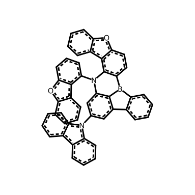 c1ccc2c(c1)B1c3ccc4oc5ccccc5c4c3N(c3cccc4oc5ccccc5c34)c3cc(-n4c5ccccc5c5ccccc54)cc-2c31